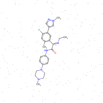 CC/N=C(/C(=O)Nc1ccc(N2CCN(C)CC2)cc1)c1cc(-c2cnn(C)c2)c(F)cc1C